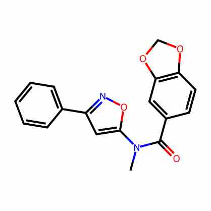 CN(C(=O)c1ccc2c(c1)OCO2)c1cc(-c2ccccc2)no1